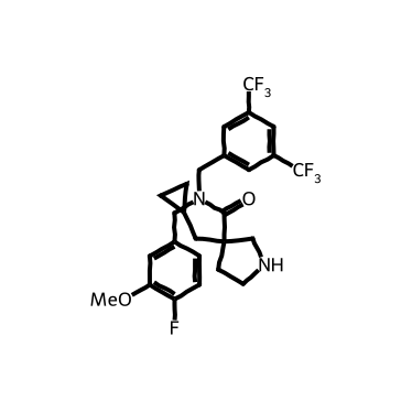 COc1cc(CN(Cc2cc(C(F)(F)F)cc(C(F)(F)F)c2)C(=O)C2(CC3CC3)CCNC2)ccc1F